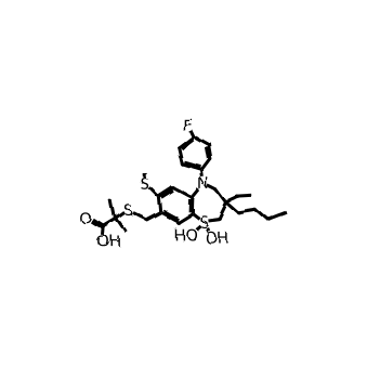 CCCCC1(CC)CN(c2ccc(F)cc2)c2cc(SC)c(CSC(C)(C)C(=O)O)cc2S(O)(O)C1